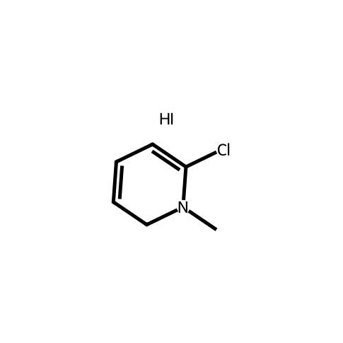 CN1CC=CC=C1Cl.I